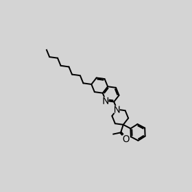 CCCCCCCCC1C=Cc2ccc(N3CCC(C(C)=O)(c4ccccc4)CC3)nc2C1